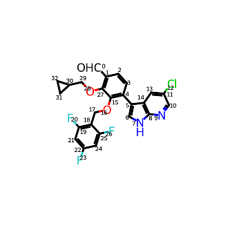 O=Cc1ccc(-c2c[nH]c3ncc(Cl)cc23)c(OCc2c(F)cc(F)cc2F)c1OCC1CC1